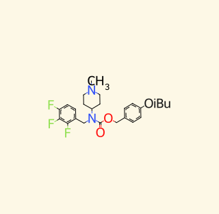 CC(C)COc1ccc(COC(=O)N(Cc2ccc(F)c(F)c2F)C2CCN(C)CC2)cc1